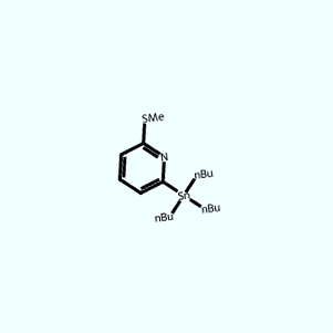 CCC[CH2][Sn]([CH2]CCC)([CH2]CCC)[c]1cccc(SC)n1